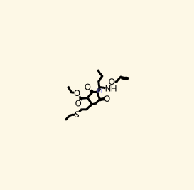 C=CCON/C(CCC)=C1\C(=O)CC(CCSCC)C(C(=O)OCC)C1=O